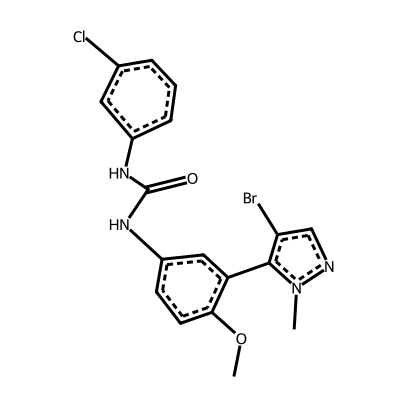 COc1ccc(NC(=O)Nc2cccc(Cl)c2)cc1-c1c(Br)cnn1C